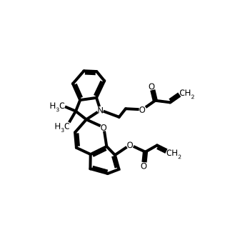 C=CC(=O)OCCN1c2ccccc2C(C)(C)C12C=Cc1cccc(OC(=O)C=C)c1O2